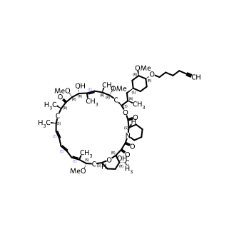 C#CCCCCO[C@@H]1CC[C@@H](C[C@@H](C)[C@@H]2C[C@@H](OC)[C@H](C)/C=C(\C)[C@@H](O)[C@@H](OC)C(=O)[C@H](C)C[C@H](C)/C=C/C=C/C=C(\C)[C@@H](OC)C[C@@H]3CC[C@@H](C)[C@@](O)(O3)C(=O)C(=O)N3CCCC[C@H]3C(=O)O2)C[C@H]1OC